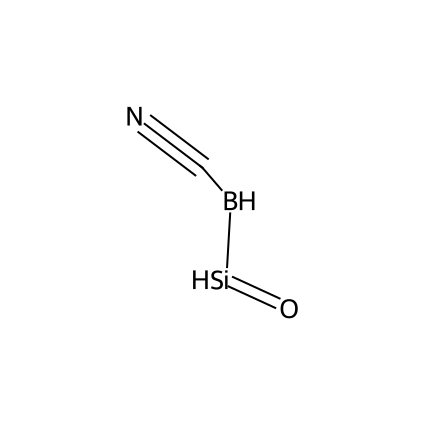 N#CB[SiH]=O